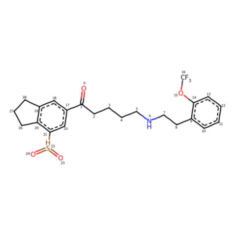 O=C(CCCCNCCc1ccccc1OC(F)(F)F)c1cc2c(c([SH](=O)=O)c1)CCC2